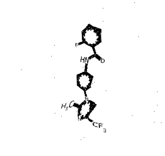 Cc1nc(C(F)(F)F)cn1-c1ccc(NC(=O)c2ccccc2F)cc1